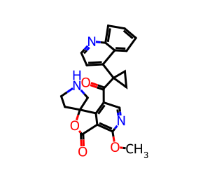 COc1ncc(C(=O)C2(c3ccnc4ccccc34)CC2)c2c1C(=O)OC21CCNC1